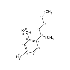 CCCCC(C)c1ccc(C)cc1O.[K]